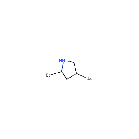 CCC1CC(C(C)(C)C)CN1